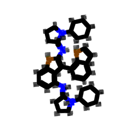 c1cc(-c2c(N=C3CCCN3C3CCCCC3)sc3cccc(N=C4CCCN4C4CCCCC4)c23)c2sccc2c1